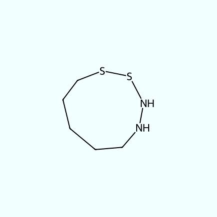 C1CCNNSSCC1